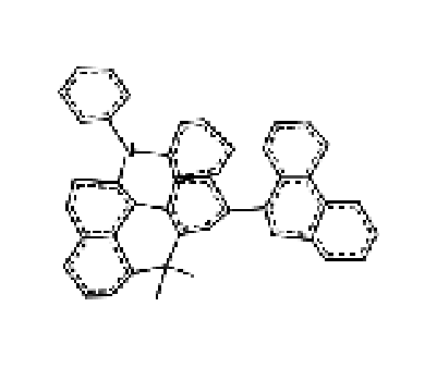 CC1(C)c2cc(-c3cc4ccccc4c4ccccc34)ccc2-c2c(N(c3ccccc3)c3ccccc3)ccc3cccc1c23